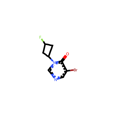 O=c1c(Br)cncn1C1CC(F)C1